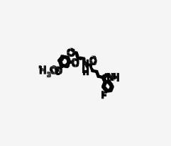 COc1ccc2c(c1)OC(CNC(=O)CCCc1c[nH]c3ccc(F)cc13)CO2